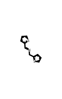 C(=NCc1cccs1)c1cccs1